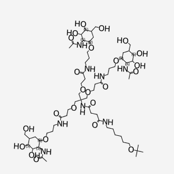 CC(=O)N[C@H]1C(O)[C@@H](O)C(CO)C[C@H]1OCCCNC(=O)CCOCC(COCCC(=O)NCCCO[C@@H]1CC(CO)[C@H](O)C(O)[C@@H]1NC(C)=O)(COCCC(=O)NCCCO[C@@H]1CC(CO)[C@H](O)C(O)[C@@H]1NC(C)=O)NC(=O)CCC(=O)NCCCCCCOC(C)(C)C